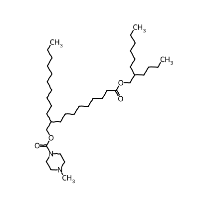 CCCCCCCCCCC(CCCCCCCCC(=O)OCC(CCCC)CCCCCC)COC(=O)N1CCN(C)CC1